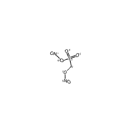 O=NOCS(=O)(=O)ON=O